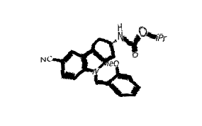 COc1ccccc1Cn1c2c(c3cc(C#N)ccc31)C[C@H](NC(=O)OC(C)C)C2